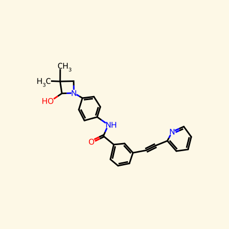 CC1(C)CN(c2ccc(NC(=O)c3cccc(C#Cc4ccccn4)c3)cc2)C1O